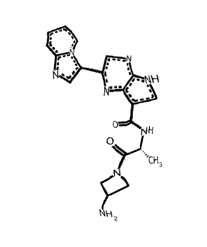 C[C@@H](NC(=O)c1c[nH]c2ncc(-c3cnc4ccccn34)nc12)C(=O)N1CC(N)C1